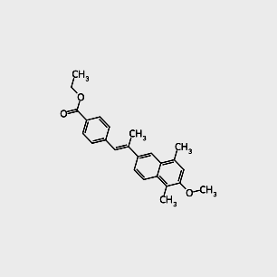 CCOC(=O)c1ccc(C=C(C)c2ccc3c(C)c(OC)cc(C)c3c2)cc1